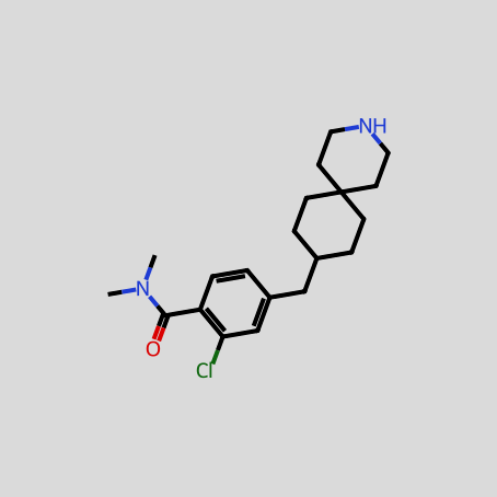 CN(C)C(=O)c1ccc(CC2CCC3(CCNCC3)CC2)cc1Cl